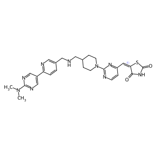 CN(C)c1ncc(-c2ccc(CNCC3CCN(c4nccc(/C=C5/SC(=O)NC5=O)n4)CC3)cn2)cn1